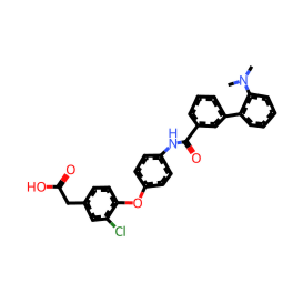 CN(C)c1ccccc1-c1cccc(C(=O)Nc2ccc(Oc3ccc(CC(=O)O)cc3Cl)cc2)c1